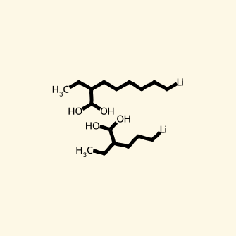 [Li][CH2]CCC(CC)C(O)O.[Li][CH2]CCCCCC(CC)C(O)O